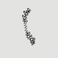 O=C(CCCCCCCCCC(=O)Oc1ccc(-c2ccc(OC(F)(F)F)c(F)c2)c(F)c1)Oc1ccc(-c2ccc(OC(F)(F)F)c(F)c2)c(F)c1